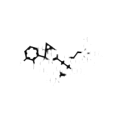 CC(C)(C)C(OCC[Si](C)(C)C)(OC(N)=O)C1=N[C@](C)(c2cccc(F)c2F)[C@@H]2C[C@@H]2S1